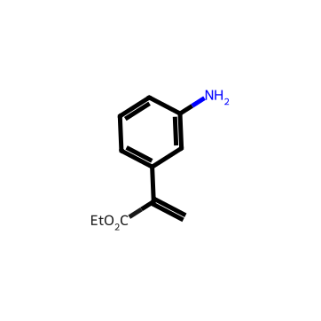 C=C(C(=O)OCC)c1cccc(N)c1